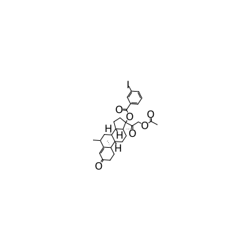 CC(=O)OCC(=O)[C@@]1(OC(=O)c2cccc(I)c2)CC[C@H]2[C@@H]3CC(C)C4=CC(=O)CC[C@]4(C)[C@H]3CC[C@@]21C